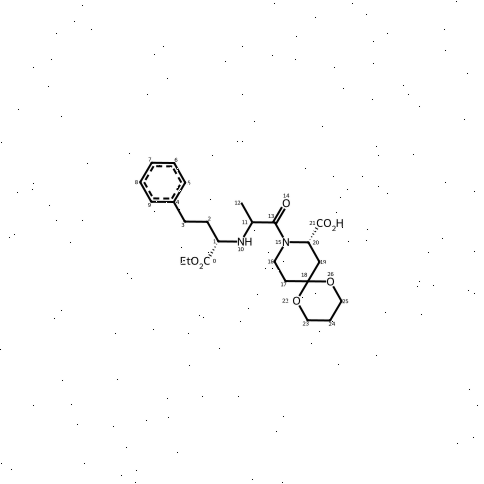 CCOC(=O)[C@H](CCc1ccccc1)NC(C)C(=O)N1CCC2(C[C@H]1C(=O)O)OCCCO2